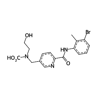 Cc1c(Br)cccc1NC(=O)c1ccc(CN(CCO)C(=O)O)cn1